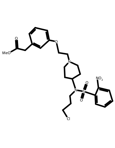 COC(=O)Cc1cccc(OCCN2CCC(N(CCCCl)S(=O)(=O)c3ccccc3[N+](=O)[O-])CC2)c1